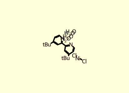 CC(C)(C)c1ccnc(-c2cc(C(C)(C)C)ccn2)c1.O.O.O.O.[Cl][Ni][Cl]